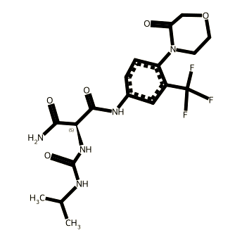 CC(C)NC(=O)N[C@@H](C(N)=O)C(=O)Nc1ccc(N2CCOCC2=O)c(C(F)(F)F)c1